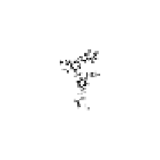 CCc1c(O)cc(OCC2COCCO2)nc1CCc1ccc(OCCCN)cc1.Cl